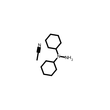 CC#N.NN(C1CCCCC1)C1CCCCC1